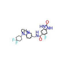 CN(c1ccc(CNC(=O)c2cc3[nH]c(=O)[nH]c3cc2F)cn1)C1CCC(F)(F)CC1